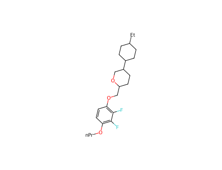 CCCOc1ccc(OCC2CCC(C3CCC(CC)CC3)CO2)c(F)c1F